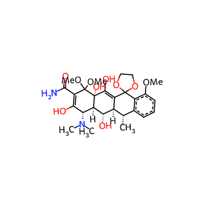 COc1cccc2c1C1(OCCO1)C1=C(O)[C@@]3(O)[C@@H]([C@@H](O)[C@@H]1[C@H]2C)[C@H](N(C)C)C(O)=C(C(N)=O)C3(OC)OC